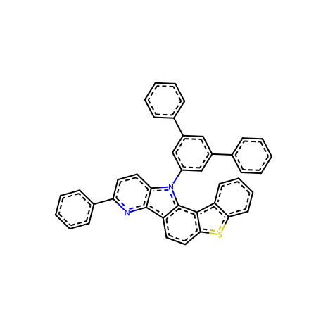 c1ccc(-c2cc(-c3ccccc3)cc(-n3c4ccc(-c5ccccc5)nc4c4ccc5sc6ccccc6c5c43)c2)cc1